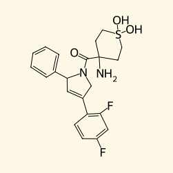 NC1(C(=O)N2CC(c3ccc(F)cc3F)=CC2c2ccccc2)CCS(O)(O)CC1